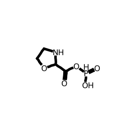 O=C(O[PH](=O)O)C1NCCO1